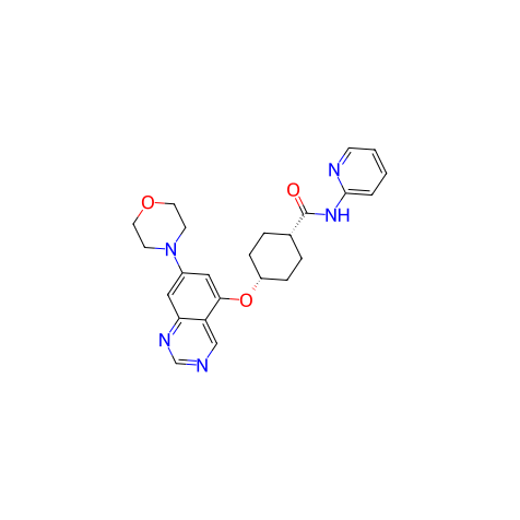 O=C(Nc1ccccn1)[C@H]1CC[C@@H](Oc2cc(N3CCOCC3)cc3ncncc23)CC1